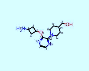 NC1CC(Oc2nccnc2N2CCC(CO)CC2)C1